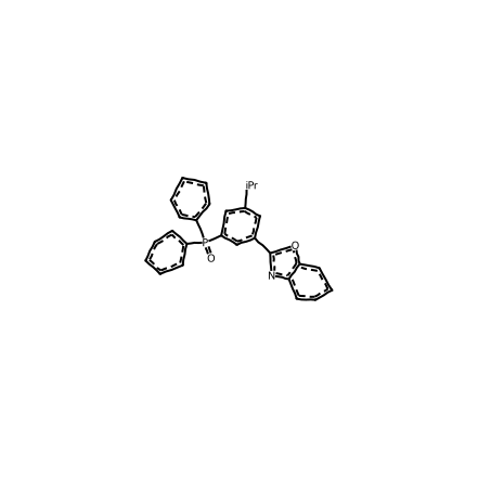 CC(C)c1cc(-c2nc3ccccc3o2)cc(P(=O)(c2ccccc2)c2ccccc2)c1